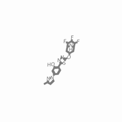 Cc1ccn(-c2ccc(-c3nnc(OC4CC5NC(C4)C(F)C(F)C5F)s3)c(O)c2)n1